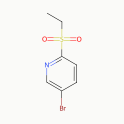 CCS(=O)(=O)c1ccc(Br)cn1